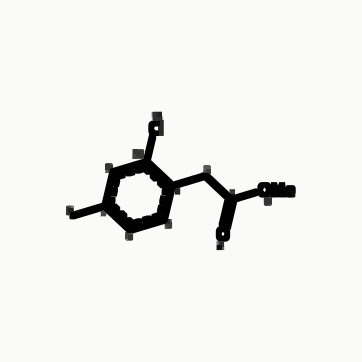 COC(=O)Cc1ccc(C)cc1Cl